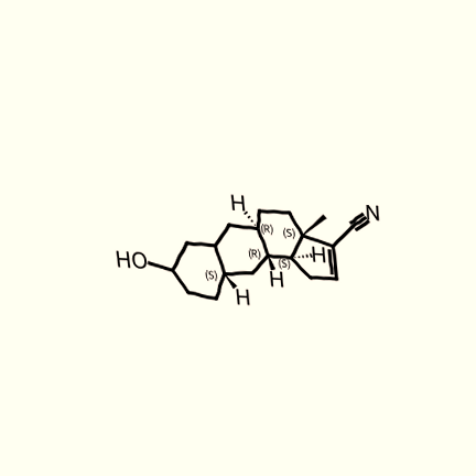 C[C@]12CC[C@@H]3CC4CC(O)CC[C@H]4C[C@H]3[C@@H]1CC=C2C#N